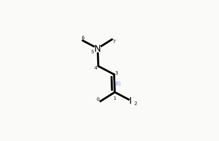 C/C(I)=C\CN(C)C